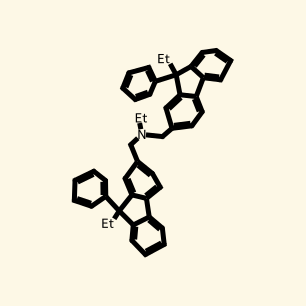 CCN(Cc1ccc2c(c1)C(CC)(c1ccccc1)c1ccccc1-2)Cc1ccc2c(c1)C(CC)(c1ccccc1)c1ccccc1-2